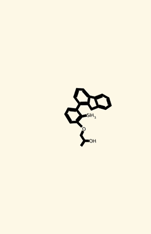 CC(O)COc1cccc(-c2cccc3c2Cc2ccccc2-3)c1[SiH3]